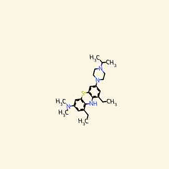 CCc1cc(N(C)C)cc2c1Nc1c(CC)cc(N3CCN(C(C)C)CC3)cc1S2